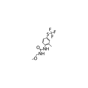 COCNC(=O)Nc1ccc(SC(F)(F)F)cc1C